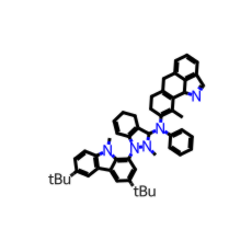 CC1=C(N(c2ccccc2)C2C3=C(C=CCC3)N(c3cc(C(C)(C)C)cc4c5cc(C(C)(C)C)ccc5n(C)c34)N2C)CCC2=C1C1N=Cc3cccc(c31)C2